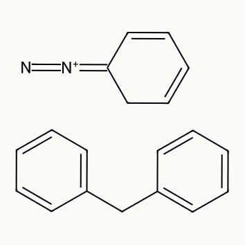 [N-]=[N+]=C1C=CC=CC1.c1ccc(Cc2ccccc2)cc1